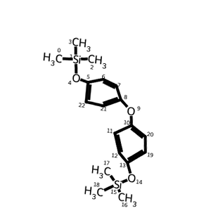 C[Si](C)(C)Oc1ccc(Oc2ccc(O[Si](C)(C)C)cc2)cc1